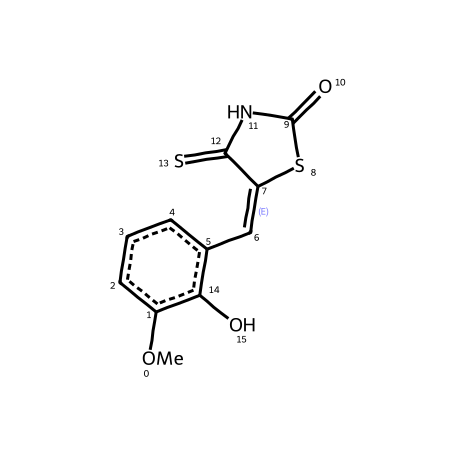 COc1cccc(/C=C2/SC(=O)NC2=S)c1O